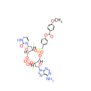 COc1ccc(C(=O)Oc2ccc(CS[P@]3(=O)OC[C@H]4O[C@@H](n5cnc6c(N)ncnc65)[C@H](F)[C@@H]4OP(=O)(O)OC[C@H]4O[C@@H](N5C=CCNC5=O)[C@H](F)[C@@H]4O3)cc2)cc1